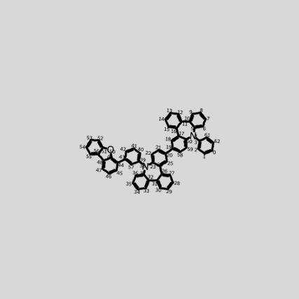 c1ccc(N2c3ccccc3-c3ccccc3-c3cc(-c4ccc5c(c4)-c4ccccc4-c4ccccc4N5c4cccc(-c5cccc6c5oc5ccccc56)c4)ccc32)cc1